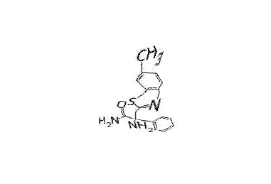 Cc1ccc2nc([C@](N)(C(N)=O)c3ccccc3)sc2c1